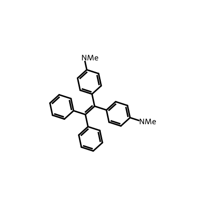 CNc1ccc(C(=C(c2ccccc2)c2ccccc2)c2ccc(NC)cc2)cc1